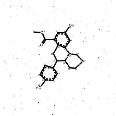 COC(=O)c1cc(O)cc2c1CC(c1ccc(O)cc1)C1CCCCC21